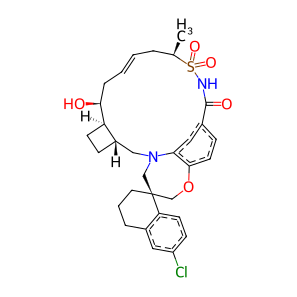 C[C@@H]1C/C=C/C[C@H](O)[C@@H]2CC[C@H]2CN2C[C@@]3(CCCc4cc(Cl)ccc43)COc3ccc(cc32)C(=O)NS1(=O)=O